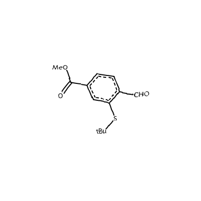 COC(=O)c1ccc(C=O)c(SC(C)(C)C)c1